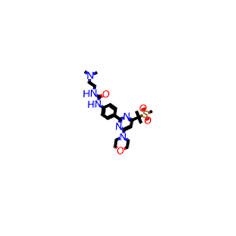 CN(C)CCNC(=O)Nc1ccc(-c2nc(N3CCOCC3)cc(C(C)(C)S(C)(=O)=O)n2)cc1